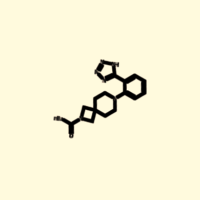 CCCCC(=O)N1CC2(CCN(c3ccccc3-c3nnn[nH]3)CC2)C1